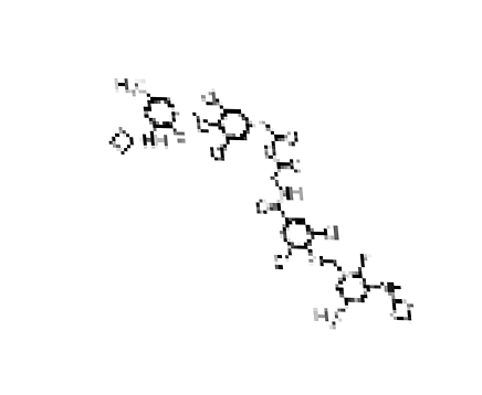 Cc1cc(COc2c(Cl)cc(CC(=O)OC(=O)CNC(=O)c3cc(Cl)c(OCc4cc(C)cc(NC5CCC5)c4F)c(Cl)c3)cc2Cl)c(F)c(NC2CCC2)c1